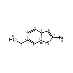 OCc1ccc2cc(Br)sc2c1